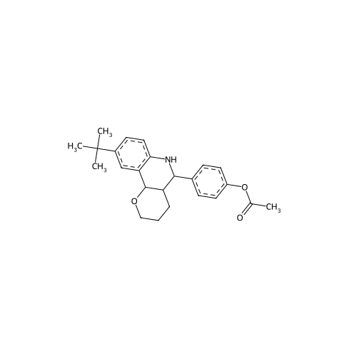 CC(=O)Oc1ccc(C2Nc3ccc(C(C)(C)C)cc3C3OCCCC23)cc1